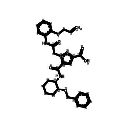 C=CCOc1ccccc1NC(=O)Cn1nc(C(=O)O)cc1C(=O)N[C@H]1CCCC[C@@H]1OCc1ccccc1